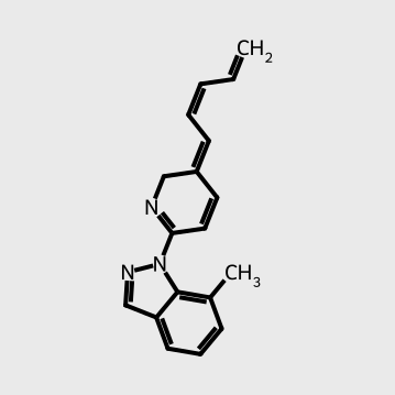 C=C/C=C\C=C1\C=CC(n2ncc3cccc(C)c32)=NC1